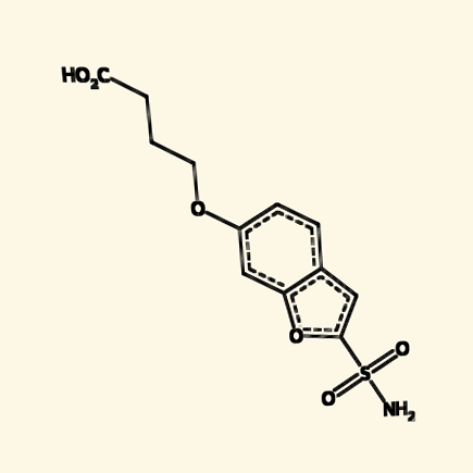 NS(=O)(=O)c1cc2ccc(OCCCC(=O)O)cc2o1